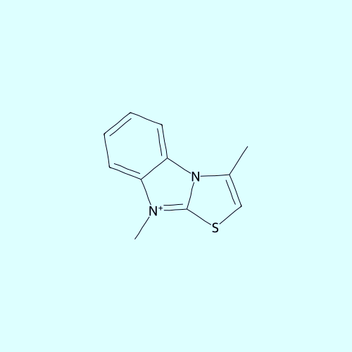 Cc1csc2n1c1ccccc1[n+]2C